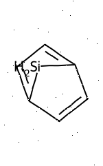 C1=CC2=CC=C1[SiH2]2